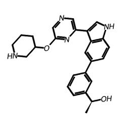 C[C@H](O)c1cccc(-c2ccc3[nH]cc(-c4cncc(OC5CCCNC5)n4)c3c2)c1